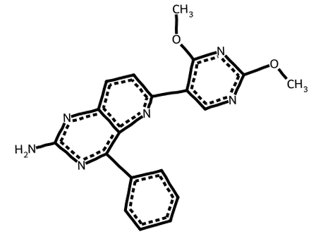 COc1ncc(-c2ccc3nc(N)nc(-c4ccccc4)c3n2)c(OC)n1